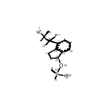 CC(C)(O)C(F)(F)c1cccc2c1CC[C@@H]2O[Si](C)(C)C(C)(C)C